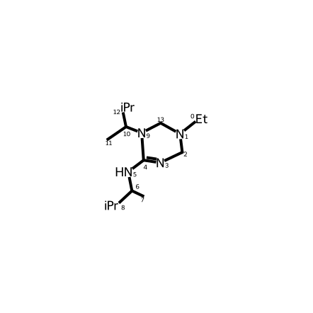 CCN1CN=C(NC(C)C(C)C)N(C(C)C(C)C)C1